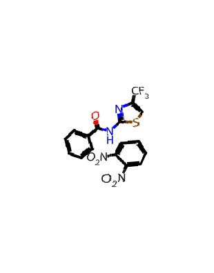 O=C(Nc1nc(C(F)(F)F)cs1)c1ccccc1.O=[N+]([O-])c1ccccc1[N+](=O)[O-]